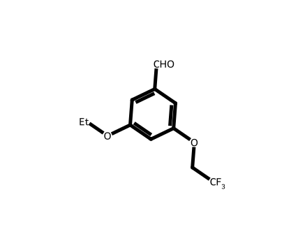 CCOc1cc(C=O)cc(OCC(F)(F)F)c1